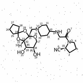 N#C[C@@H]1CCCN1C(=O)CNC1CCN(C[C@@]23OC[C@@H](O)[C@@H](O)[C@@H]2OC2(CCCC2)O3)CC1